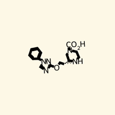 O=C(O)N1CCN[C@H](CCOc2ncn(-c3ccccc3)n2)C1